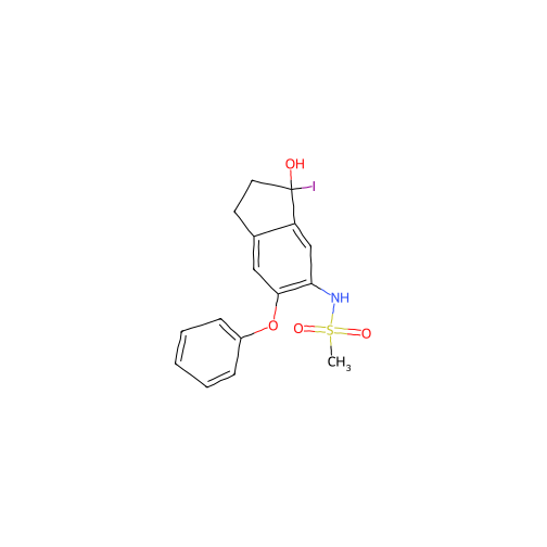 CS(=O)(=O)Nc1cc2c(cc1Oc1ccccc1)CCC2(O)I